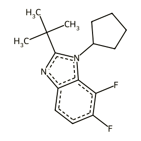 CC(C)(C)c1nc2ccc(F)c(F)c2n1C1CCCC1